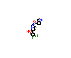 O=C(c1cccc2c1CCN2)N1CCN2C[C@@](O)(c3ccc(F)c(Cl)c3)CC[C@@H]2C1